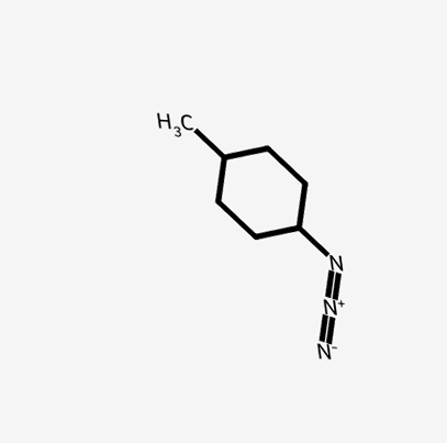 CC1CCC(N=[N+]=[N-])CC1